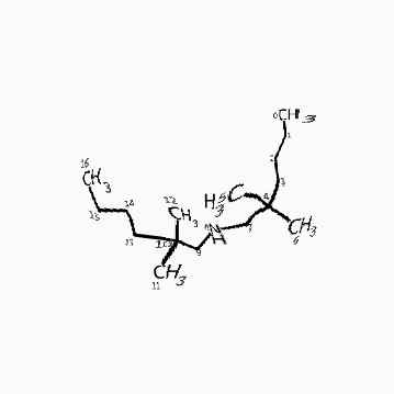 CCCCC(C)(C)CNCC(C)(C)CCCC